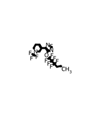 CCCC(F)(F)C(F)(F)C(F)(F)Oc1nsnc1C1=CCCN(C(F)(F)F)C1